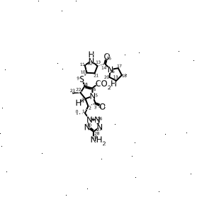 C[C@H]([C@H]1C(=O)N2C(C(=O)O)=C(S[C@@H]3CN[C@H](C(=O)N4CCCC4)C3)[C@H](C)[C@H]12)n1nnc(N)n1